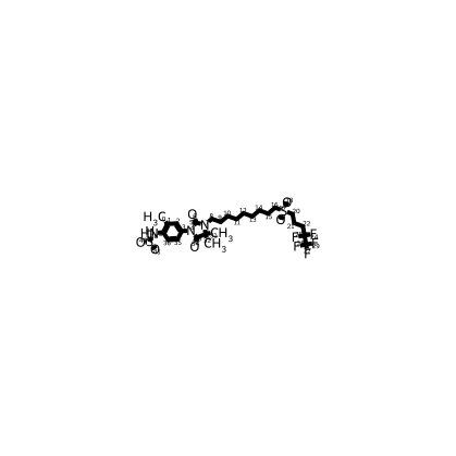 Cc1cc(N2C(=O)N(CCCCCCCCCS(=O)(=O)CCCC(F)(F)C(F)(F)F)C(C)(C)C2=O)ccc1N[SH](=O)=O